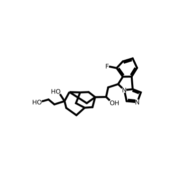 OCCC1(O)CCC2CC3CC(C(O)CC4c5c(F)cccc5-c5cncn54)(C2)CC31